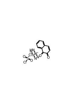 O=C1C=Cc2ccccc2C1=O.O=S(=O)(Cl)Cl.[N-]=[N+]=N.[N-]=[N+]=[N-]